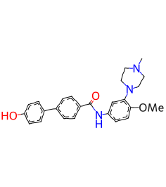 COc1ccc(NC(=O)c2ccc(-c3ccc(O)cc3)cc2)cc1N1CCN(C)CC1